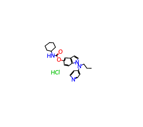 CCCN(c1ccncc1)n1ccc2cc(OC(=O)NC3CCCCC3)ccc21.Cl